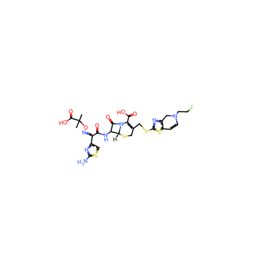 CC(C)(O/N=C(\C(=O)NC1C(=O)N2C(C(=O)O)=C(CSc3nc4c(s3)C=CN(CCF)C4)CS[C@H]12)c1csc(N)n1)C(=O)O